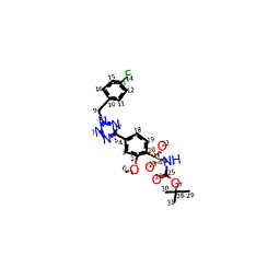 COc1cc(-c2nnn(Cc3ccc(F)cc3)n2)ccc1S(=O)(=O)NC(=O)OC(C)(C)C